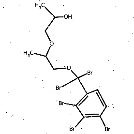 CC(O)COC(C)COC(Br)(Br)c1ccc(Br)c(Br)c1Br